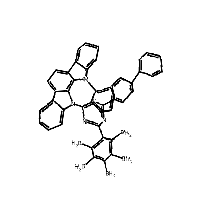 Bc1c(B)c(B)c(-c2nc(-c3ccc(-c4ccccc4)cc3)nc(-n3c4ccccc4c4ccc5c6ccccc6n(-c6ccccc6)c5c43)n2)c(B)c1B